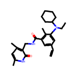 C=Cc1cc(C(=O)NCc2c(C)cc(C)[nH]c2=O)c(C)c(N(CC)C2CCCCC2)c1